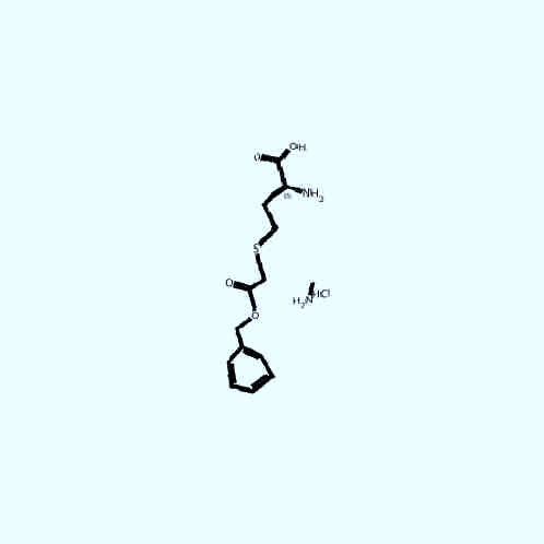 CN.Cl.N[C@@H](CCSCC(=O)OCc1ccccc1)C(=O)O